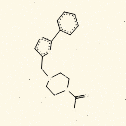 CC(=N)N1CCN(Cc2csc(-c3ccccc3)n2)CC1